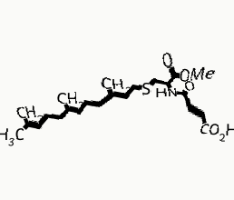 COC(=O)C(CSC/C=C(\C)CC/C=C(\C)CCC=C(C)C)NC(=O)CCC(=O)O